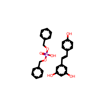 O=P(O)(OCc1ccccc1)OCc1ccccc1.Oc1ccc(C=Cc2cc(O)cc(O)c2)cc1